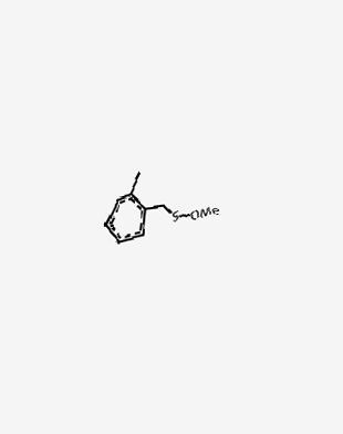 COSCc1ccccc1C